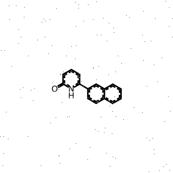 O=c1[c]ccc(-c2ccc3ccccc3c2)[nH]1